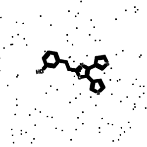 Oc1cccc(CCc2nc(-c3ccsc3)c(-c3ccsc3)o2)c1